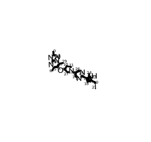 Cc1nc2nc(C)c(O[C@@H]3CCN(c4cnc(C56CC(CI)(C5)[C@@H]6C)nc4)C3)c(C)n2n1